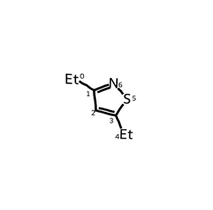 CCc1cc(CC)sn1